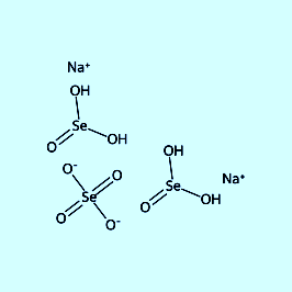 O=[Se](=O)([O-])[O-].O=[Se](O)O.O=[Se](O)O.[Na+].[Na+]